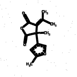 CC(C)=C1C(=O)OC(=O)C1(C)c1coc(C)c1